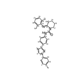 Cc1ccc(-n2cnc(-c3ccc(NC(=O)N4CCCS/C4=N\c4c(C)cccc4C)cc3)n2)cc1